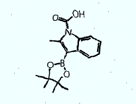 Cc1c(B2OC(C)(C)C(C)(C)O2)c2ccccc2n1C(=O)O